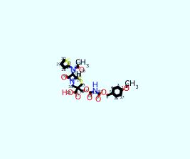 COc1ccc(COC(=O)NC(=O)OCC2(C(=O)O)CS[C@@H]3C(N(C(C)=O)c4cccs4)C(=O)N3C2)cc1